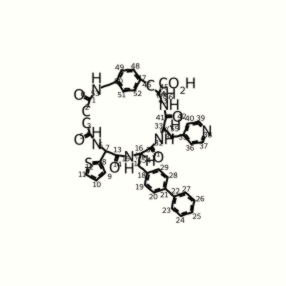 O=C1CCC(=O)NC(c2cccs2)C(=O)N[C@@H](Cc2ccc(-c3ccccc3)cc2)C(=O)N[C@H](Cc2ccncc2)C(=O)N[C@H](C(=O)O)Cc2ccc(cc2)N1